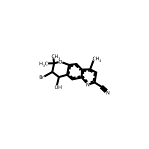 Cc1cc(C#N)nc2cc3c(cc12)OC(C)(C)C(Br)C3O